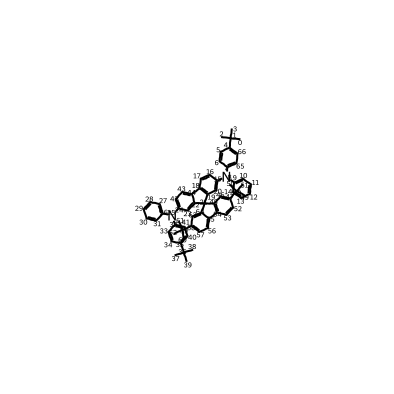 CC(C)(C)c1ccc(N(c2ccccc2)c2ccc3c(c2)C2(c4cc(N(c5ccccc5)c5ccc(C(C)(C)C)cc5)ccc4-3)c3cc(C(C)(C)C)ccc3-c3ccc(C(C)(C)C)cc32)cc1